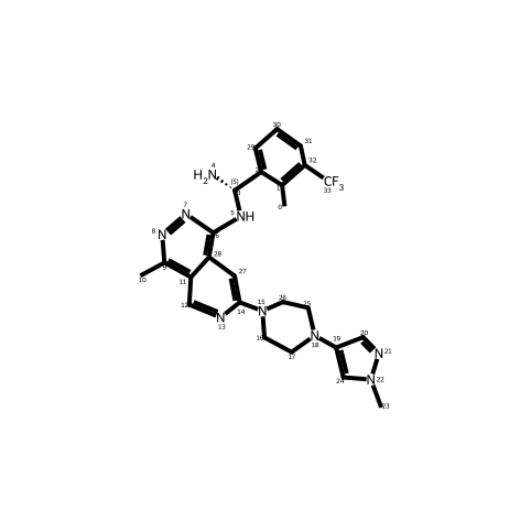 Cc1c([C@@H](N)Nc2nnc(C)c3cnc(N4CCN(c5cnn(C)c5)CC4)cc23)cccc1C(F)(F)F